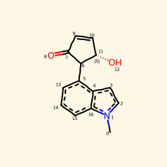 Cn1ccc2c(C3C(=O)C=C[C@@H]3O)cccc21